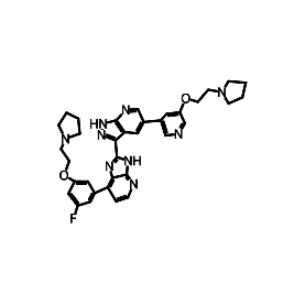 Fc1cc(OCCN2CCCC2)cc(-c2ccnc3[nH]c(-c4n[nH]c5ncc(-c6cncc(OCCN7CCCC7)c6)cc45)nc23)c1